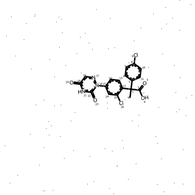 CC(C(=O)O)(c1ccc(Cl)cc1)c1ccc(-n2ncc(=O)[nH]c2=O)cc1Cl